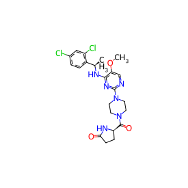 COc1cnc(N2CCN(C(=O)[C@H]3CCC(=O)N3)CC2)nc1N[C@H](C)c1ccc(Cl)cc1Cl